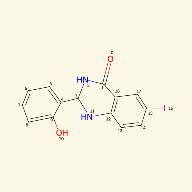 O=C1NC(c2ccccc2O)Nc2ccc(I)cc21